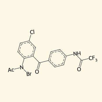 CC(=O)N(Br)c1ccc(Cl)cc1C(=O)c1ccc(NC(=O)C(F)(F)F)cc1